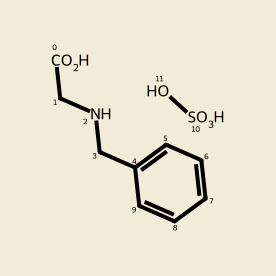 O=C(O)CNCc1ccccc1.O=S(=O)(O)O